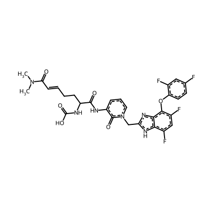 CN(C)C(=O)C=CCCC(NC(=O)O)C(=O)Nc1cccn(Cc2nc3c(Oc4ccc(F)cc4F)c(F)cc(F)c3[nH]2)c1=O